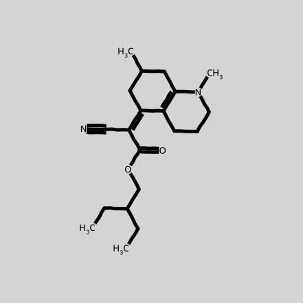 CCC(CC)COC(=O)/C(C#N)=C1/CC(C)CC2=C1CCCN2C